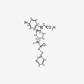 CN(C(=O)CCc1ccccc1)[C@H]1CCc2c(c3cc(F)ccc3n2CC(=O)O)C1